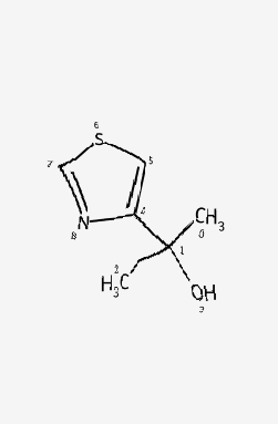 CC(C)(O)c1cscn1